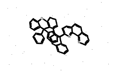 C1=C(c2ccc3ccccc3c2-c2ccc3ccc4cccnc4c3n2)C2=C(CC1)Oc1ccccc1C2(c1ccccc1)c1ccccc1